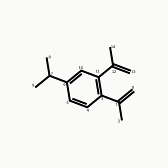 C=C(C)c1ccc(C(C)C)cc1C(=C)C